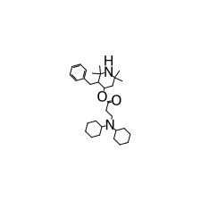 CC1(C)CC(OC(=O)CCN(C2CCCCC2)C2CCCCC2)C(Cc2ccccc2)C(C)(C)N1